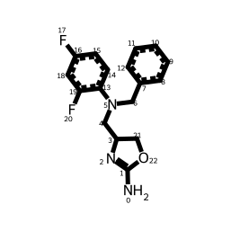 NC1=NC(CN(Cc2ccccc2)c2ccc(F)cc2F)CO1